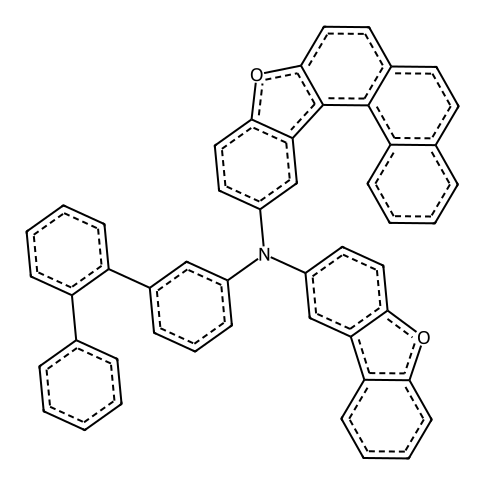 c1ccc(-c2ccccc2-c2cccc(N(c3ccc4oc5ccccc5c4c3)c3ccc4oc5ccc6ccc7ccccc7c6c5c4c3)c2)cc1